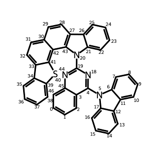 c1ccc2c(-n3c4ccccc4c4ccccc43)nc(-n3c4ccccc4c4ccc5ccc6c7ccccc7sc6c5c43)nc2c1